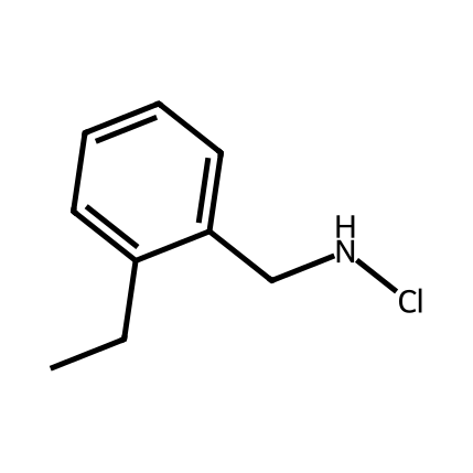 CCc1ccccc1CNCl